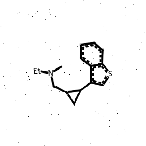 CCN(C)CC1CC1c1csc2ccccc12